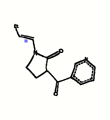 CC/C=C/N1CCC(C(=O)c2cccnc2)C1=O